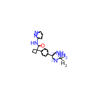 C=C(N)/N=C\C(=C/N)c1ccc(C2(C(=O)Nc3cccnn3)CCC2)cc1